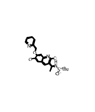 CC(N[S+]([O-])C(C)(C)C)c1cc2cc(Cl)c(OCc3ccccn3)cc2nc1Cl